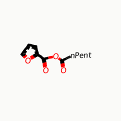 CCCCCC(=O)OC(=O)c1ccco1